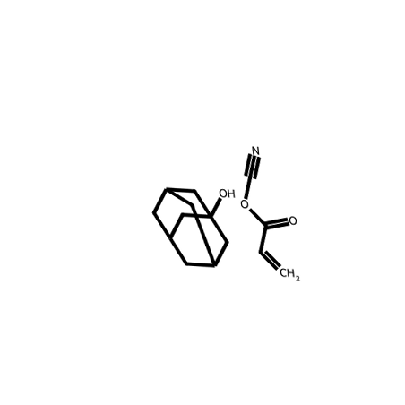 C=CC(=O)OC#N.OC12CC3CC(CC(C3)C1)C2